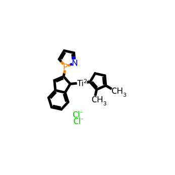 CC1=CC[C]([Ti+2][CH]2C(p3cccn3)=Cc3ccccc32)=C1C.[Cl-].[Cl-]